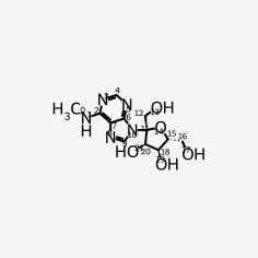 CNc1ncnc2c1ncn2[C@]1(CO)O[C@H](CO)[C@@H](O)[C@H]1O